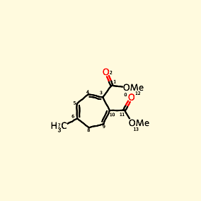 COC(=O)C1=CC=C(C)CC=C1C(=O)OC